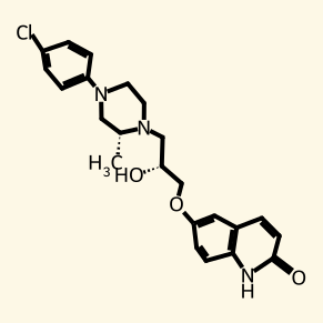 C[C@@H]1CN(c2ccc(Cl)cc2)CCN1C[C@@H](O)COc1ccc2[nH]c(=O)ccc2c1